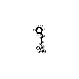 CS(=O)(=O)OCCC=Cc1ccccc1